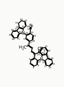 C/C(=C\C=C(\c1ccccc1N1c2ccccc2C2C=CC=CC21)C(C)C)c1ccc(C#N)c(-n2c3c(c4ccccc42)CCC=C3)c1